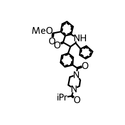 COC(=O)c1cccc2c1C(=O)C(c1cccc(C(=O)N3CCN(C(=O)C(C)C)CC3)c1)C(c1ccccc1)N2